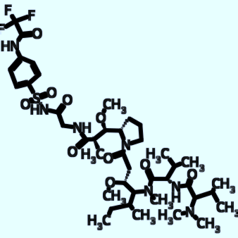 CCC(C)C([C@@H](CC(=O)N1CCC[C@H]1[C@H](OC)[C@@H](C)C(=O)NCC(=O)NS(=O)(=O)c1ccc(NC(=O)C(F)(F)F)cc1)OC)N(C)C(=O)[C@@H](NC(=O)C(C(C)C)N(C)C)C(C)C